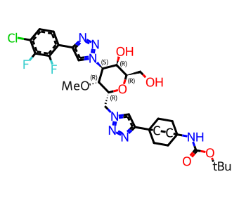 CO[C@@H]1[C@@H](n2cc(-c3ccc(Cl)c(F)c3F)nn2)[C@@H](O)[C@@H](CO)O[C@@H]1Cn1cc(C23CCC(NC(=O)OC(C)(C)C)(CC2)CC3)nn1